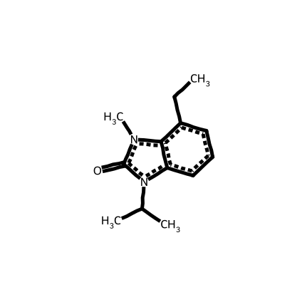 CCc1cccc2c1n(C)c(=O)n2C(C)C